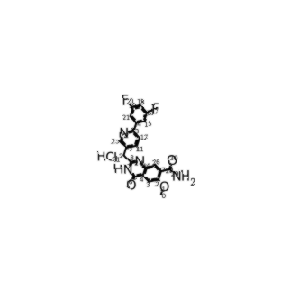 COc1cc2c(=O)[nH]c(Cc3ccc(-c4cc(F)cc(F)c4)nc3)nc2cc1C(N)=O.Cl